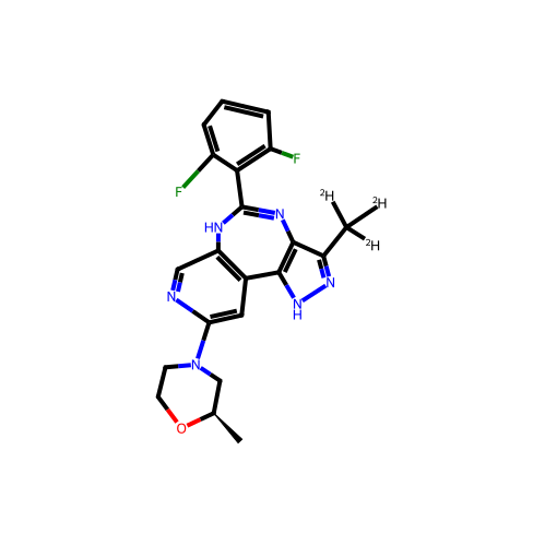 [2H]C([2H])([2H])c1n[nH]c2c1N=C(c1c(F)cccc1F)Nc1cnc(N3CCO[C@H](C)C3)cc1-2